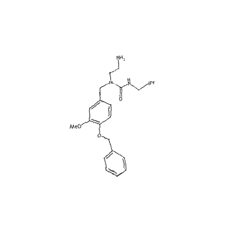 COc1cc(CN(CCN)C(=O)NCC(C)C)ccc1OCc1ccccc1